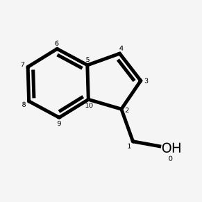 OCC1C=Cc2ccccc21